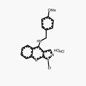 CCn1ncc2c(NCc3ccc(OC)cc3)c3ccccc3nc21.Cl.Cl